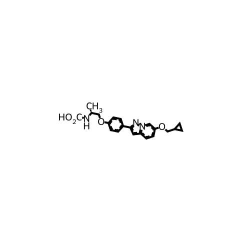 C[C@@H](COc1ccc(-c2cc3ccc(OCC4CC4)cn3n2)cc1)NC(=O)O